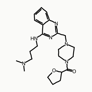 CN(C)CCCNc1nc(CN2CCN(C(=O)C3CCCO3)CC2)nc2ccccc12